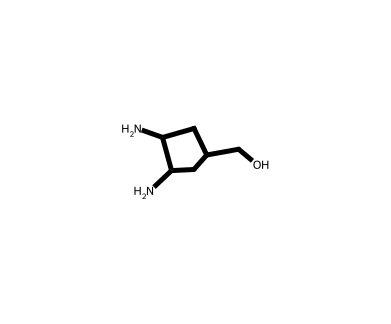 NC1CC(CO)CC1N